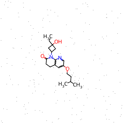 CCC1(O)CC(N2C(=O)CCc3cc(OCCC(C)C)cnc32)C1